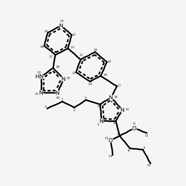 CCCCc1nc(C(CCC)(OC)OC)nn1Cc1ccc(-c2cnccc2-c2nnn[nH]2)cc1